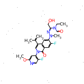 C=C(C)c1cn(-c2cc(OC)ncc2F)c(=O)c2cc(F)c(N(C)/N=C(/CO)N(C=O)CC)cc12